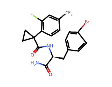 NC(=O)[C@H](Cc1ccc(Br)cc1)NC(=O)C1(c2ccc(C(F)(F)F)cc2F)CC1